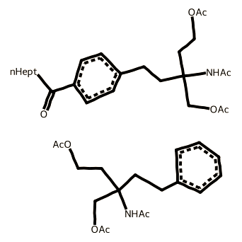 CC(=O)NC(CCOC(C)=O)(CCc1ccccc1)COC(C)=O.CCCCCCCC(=O)c1ccc(CCC(CCOC(C)=O)(COC(C)=O)NC(C)=O)cc1